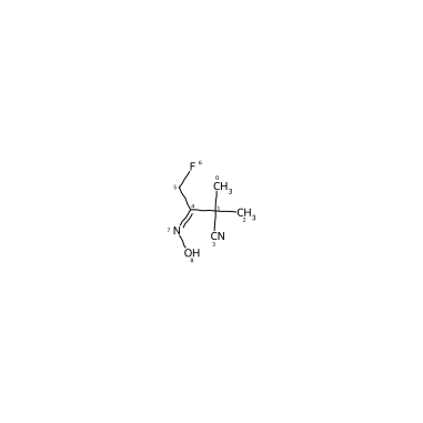 CC(C)(C#N)/C(CF)=N\O